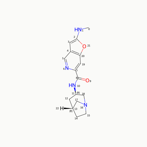 CNc1cc2cnc(C(=O)N[C@@H]3C[C@H]4CCN(C4)C3)cc2o1